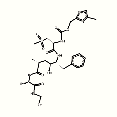 Cc1csc(COC(=O)N[C@@H](CS(C)(=O)=O)C(=O)N[C@H](Cc2ccccc2)[C@@H](O)C[C@@H](C)C(=O)N[C@@H](C(=O)NCC(C)C)C(C)C)n1